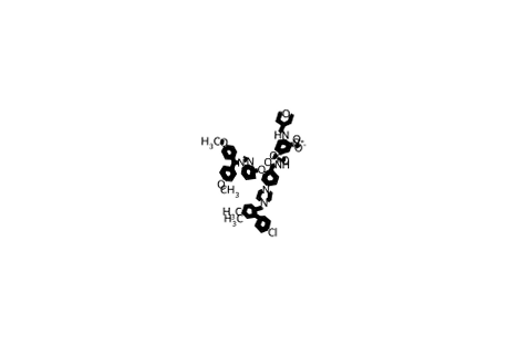 COc1ccc(C(c2ccc(OC)cc2)n2cnc3c(Oc4cc(N5CCN(CC6=C(c7ccc(Cl)cc7)CC(C)(C)CC6)CC5)ccc4C(=O)NS(=O)(=O)c4ccc(NCC5CCOCC5)c([N+](=O)[O-])c4)cccc32)cc1